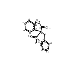 CP(=O)(O)C(Cc1ccsc1)(C(=O)O)c1ccccc1